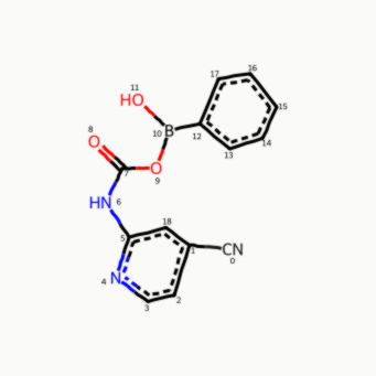 N#Cc1ccnc(NC(=O)OB(O)c2ccccc2)c1